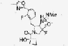 CN[S+]([O-])N[C@@H]1[C@H](Cc2cccc(-c3nc(C)co3)c2F)N(C(=O)C2(O)CCC2)CC1(F)F